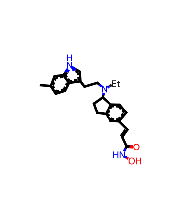 CCN(CCc1c[nH]c2cc(C)ccc12)C1CCc2cc(C=CC(=O)NO)ccc21